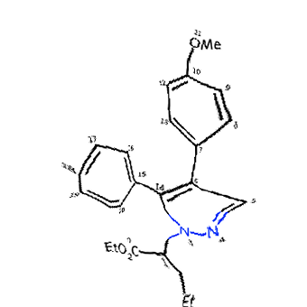 CCOC(=O)C(CC)n1ncc(-c2ccc(OC)cc2)c1-c1ccccc1